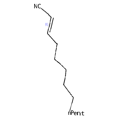 CCCCCCCCCC/C=C/C#N